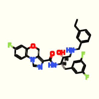 CCc1cccc(CNC[C@@H](O)[C@H](Cc2cc(F)cc(F)c2)NC(=O)c2ncn3c2COc2cc(F)ccc2-3)c1